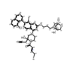 N#CC[C@]1(O)CN(c2nc(OCCCN3C[C@@H]4C[C@H]3CO4)nc3c(F)c(-c4cncc5cccc(Cl)c45)ncc23)CCN1C(=O)/C=C/CF